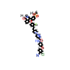 CCS(=O)(=O)c1ccc(Oc2ccc(CCC3CCN(c4ccc(C(=O)N[C@H]5CC[C@H](Oc6ccc(C#N)c(Cl)c6)CC5)nn4)CC3)c(F)c2)c(-c2cn(C)c(=O)c3ccccc23)c1